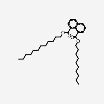 CCCCCCCCCCCCOC(=O)c1cccc2cccc(C(=O)OCCCCCCCCCC)c12